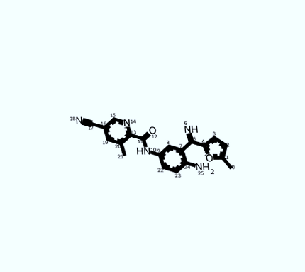 Cc1ccc(C(=N)c2cc(NC(=O)c3ncc(C#N)cc3C)ccc2N)o1